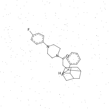 CC1C2CC3CC1CC(C2)C3(CC(=O)N1CCN(c2ccc(F)cc2)CC1)c1ccccc1